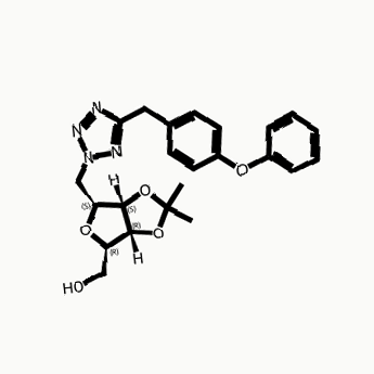 CC1(C)O[C@@H]2[C@H](O1)[C@@H](CO)O[C@H]2Cn1nnc(Cc2ccc(Oc3ccccc3)cc2)n1